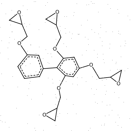 c1cc(OCC2CO2)cc(-c2c(OCC3CO3)cc(OCC3CO3)cc2OCC2CO2)c1